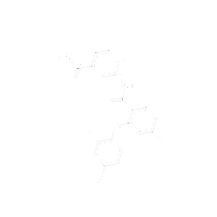 Cc1cc(F)ccc1Oc1cc(Cl)ccc1C(=O)Nc1cccc(C(N)=O)c1